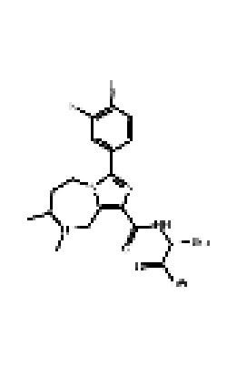 CCCC(=O)[C@@H](NC(=O)c1nc(-c2ccc(F)c(F)c2)n2c1CN(C)C(C)CC2)C(C)(C)C